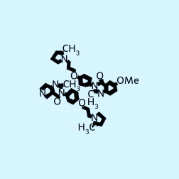 COc1ccc2nc(C)n(-c3ccc(OCCCN4CCC[C@H]4C)cc3)c(=O)c2c1.Cc1nc2ccncc2c(=O)n1-c1ccc(OCCCN2CCC[C@H]2C)cc1